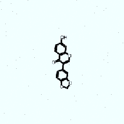 O=c1c(-c2ccc3c(c2)OCO3)coc2cc(O)ccc12